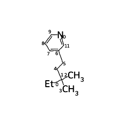 CCC(C)(C)CCc1cccnc1